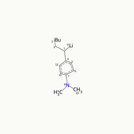 [Li][CH](CC(C)CC)c1ccc(N(C)C)cc1